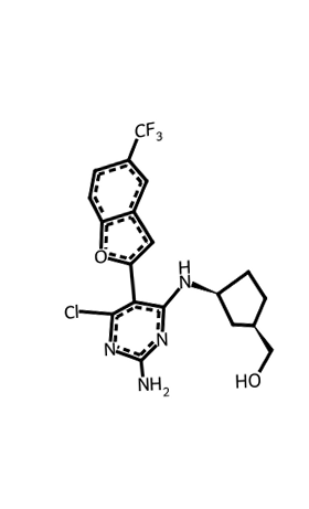 Nc1nc(Cl)c(-c2cc3cc(C(F)(F)F)ccc3o2)c(N[C@H]2CC[C@@H](CO)C2)n1